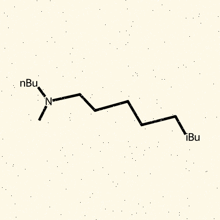 CCCCN(C)CCCCCC(C)CC